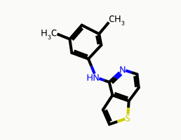 Cc1cc(C)cc(Nc2nccc3sccc23)c1